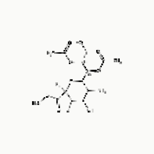 COC(=O)C1(F)OC([C@H](OC(C)=O)[C@@H](CO)OC(C)=O)C(N)C(O)C1F